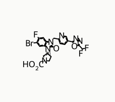 O=C(O)N1CC[C@@H](n2c(=O)n(Cc3ccc(-c4nnc(C(F)F)o4)cn3)c3cc(F)c(Br)cc32)C1